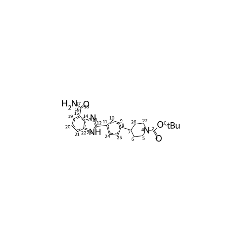 CC(C)(C)OC(=O)N1CCC(c2ccc(-c3nc4c(C(N)=O)cccc4[nH]3)cc2)CC1